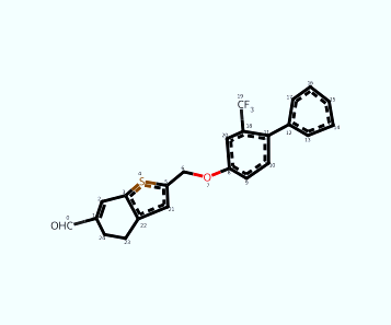 O=CC1=Cc2sc(COc3ccc(-c4ccccc4)c(C(F)(F)F)c3)cc2CC1